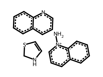 C1=CSCN1.N[n+]1cccc2ccccc21.c1ccc2ncccc2c1